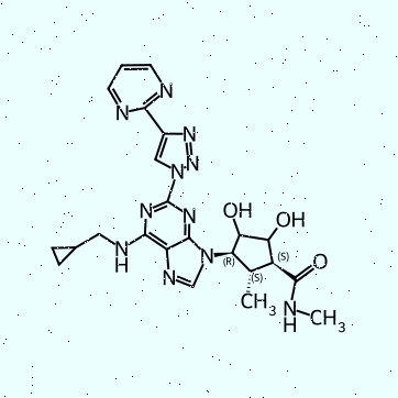 CNC(=O)[C@@H]1C(O)C(O)[C@H](n2cnc3c(NCC4CC4)nc(-n4cc(-c5ncccn5)nn4)nc32)[C@H]1C